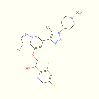 Cc1c(-c2cc(OCC(O)c3ncc(F)cc3F)c3c(C#N)cnn3c2)nnn1C1CCN(C(=O)O)CC1